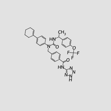 CC(NC(=O)N(Cc1ccc(C(=O)Nc2nn[nH]n2)cc1)c1ccc(C2=CCCCC2)cc1)c1ccc(OC(F)(F)F)cc1